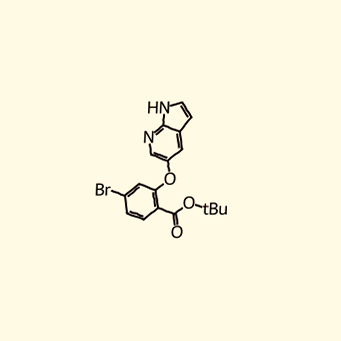 CC(C)(C)OC(=O)c1ccc(Br)cc1Oc1cnc2[nH]ccc2c1